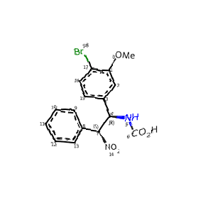 COc1cc([C@@H](NC(=O)O)[C@H](c2ccccc2)[N+](=O)[O-])ccc1Br